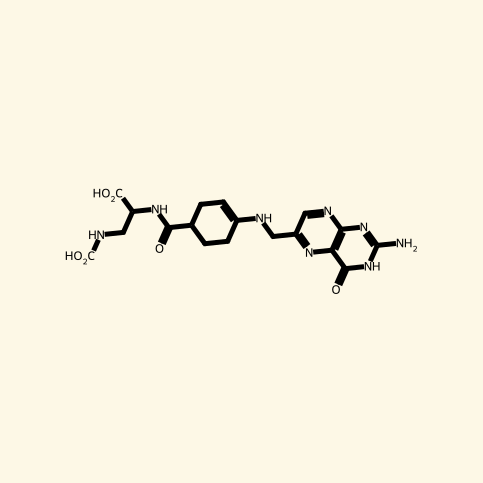 Nc1nc2ncc(CNC3=CCC(C(=O)NC(CNC(=O)O)C(=O)O)CC3)nc2c(=O)[nH]1